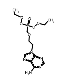 CCOOP(=O)(COCCn1cnc2c(N)ncnc21)OOCC